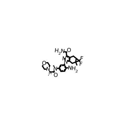 C[C@@H](C(=O)N(C)c1ccc(N)c(-n2nc(C(N)=O)c3c2CC2(C)C(C3)C2(F)F)c1)N1CCOCC1